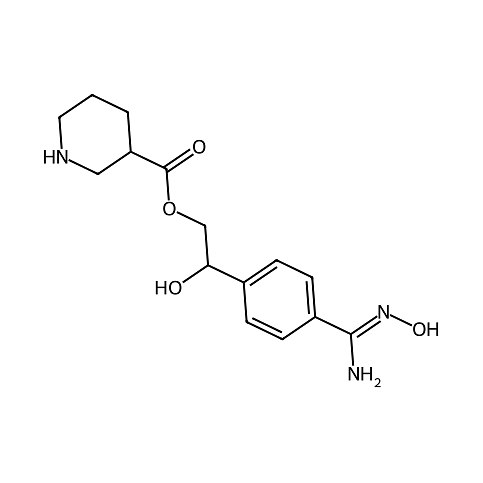 N/C(=N\O)c1ccc(C(O)COC(=O)C2CCCNC2)cc1